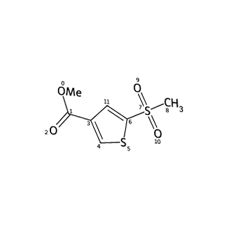 COC(=O)c1csc(S(C)(=O)=O)c1